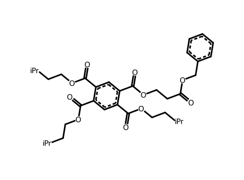 CC(C)CCOC(=O)c1cc(C(=O)OCCC(C)C)c(C(=O)OCCC(C)C)cc1C(=O)OCCC(=O)OCc1ccccc1